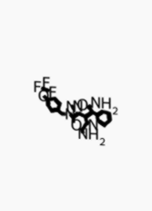 Cc1c(-c2c(C(N)=O)nc3ccccc3c2C(N)=O)nnn1Cc1ccc(OC(F)(F)F)cc1